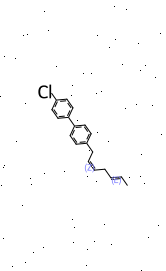 C/C=C/C/C=C\Cc1ccc(-c2ccc(Cl)cc2)cc1